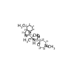 Cc1cccn2c(C(C)(C)NC(=O)C3CCN(C)CCO3)ncc12